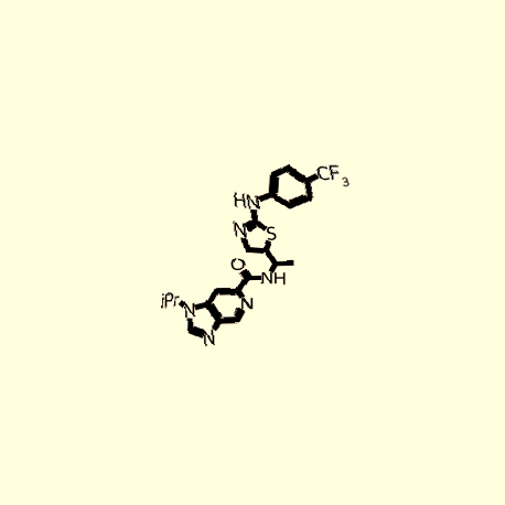 CC(NC(=O)c1cc2c(cn1)ncn2C(C)C)C1CN=C(Nc2ccc(C(F)(F)F)cc2)S1